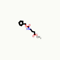 COC(=O)CC[CH]NC(=O)OCc1ccccc1